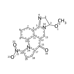 COC1CN=c2c3cccc4c3c(cn21)c(=O)c1ccc([N+](=O)[O-])n14